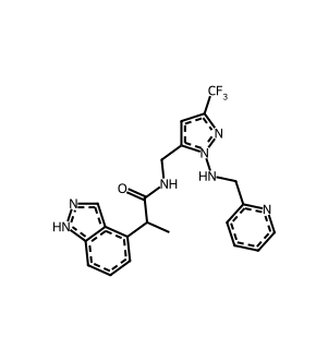 CC(C(=O)NCc1cc(C(F)(F)F)nn1NCc1ccccn1)c1cccc2[nH]ncc12